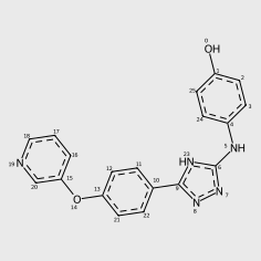 Oc1ccc(Nc2nnc(-c3ccc(Oc4cccnc4)cc3)[nH]2)cc1